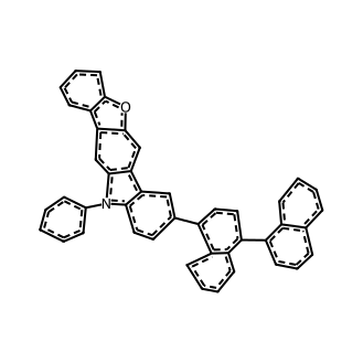 c1ccc(-n2c3ccc(-c4ccc(-c5cccc6ccccc56)c5ccccc45)cc3c3cc4oc5ccccc5c4cc32)cc1